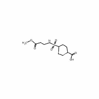 COC(=O)CCNS(=O)(=O)C1CCC(C(=O)O)CC1